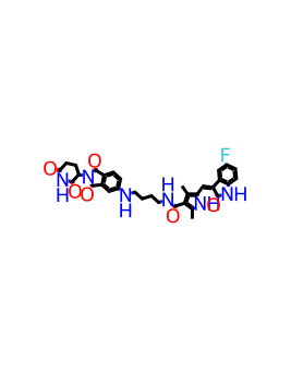 Cc1[nH]c(/C=C2\C(=O)Nc3ccc(F)cc32)c(C)c1C(=O)NCCCCNc1ccc2c(c1)C(=O)N(C1CCC(=O)NC1=O)C2=O